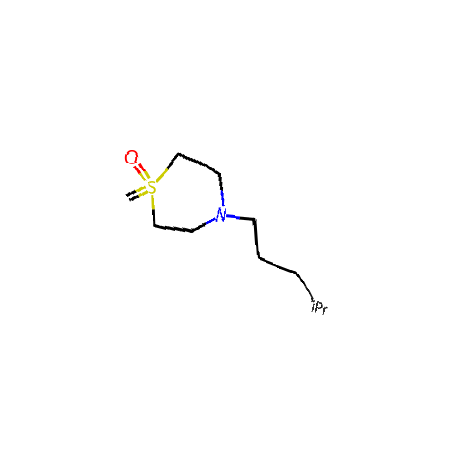 C=S1(=O)CCN(CCCC(C)C)CC1